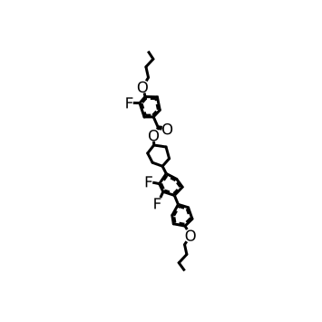 CCCCOc1ccc(-c2ccc(C3CCC(OC(=O)c4ccc(OCCCC)c(F)c4)CC3)c(F)c2F)cc1